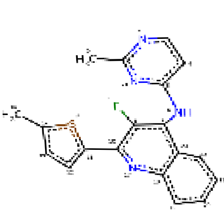 Cc1nccc(Nc2c(F)c(-c3ccc(C)s3)nc3ccccc23)n1